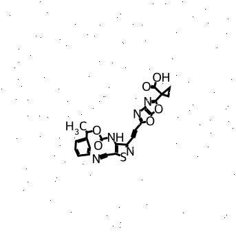 CC(OC(=O)Nc1c(C#Cc2nc3nc(C4(C(=O)O)CC4)oc3o2)nsc1C#N)c1ccccc1